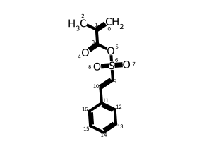 C=C(C)C(=O)OS(=O)(=O)C=Cc1ccccc1